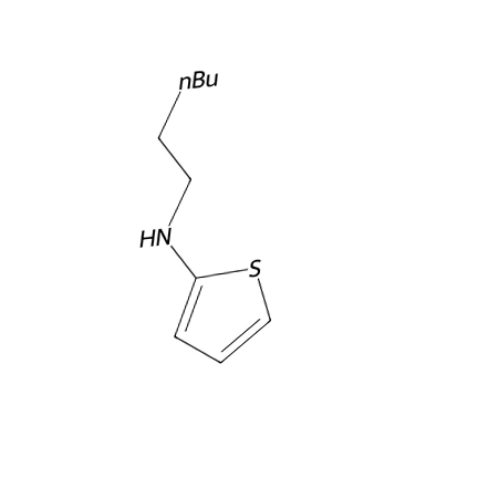 CCCCCCNc1cccs1